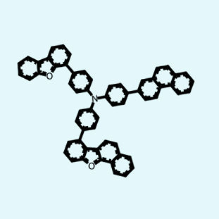 c1ccc2c(c1)ccc1cc(-c3ccc(N(c4ccc(-c5cccc6c5oc5ccccc56)cc4)c4ccc(-c5cccc6oc7c8ccccc8ccc7c56)cc4)cc3)ccc12